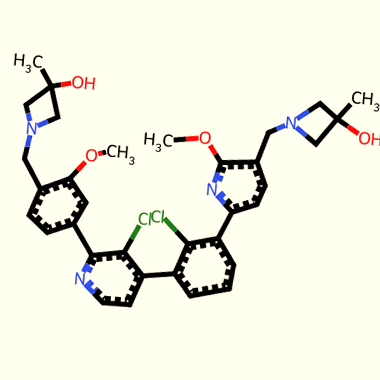 COc1cc(-c2nccc(-c3cccc(-c4ccc(CN5CC(C)(O)C5)c(OC)n4)c3Cl)c2Cl)ccc1CN1CC(C)(O)C1